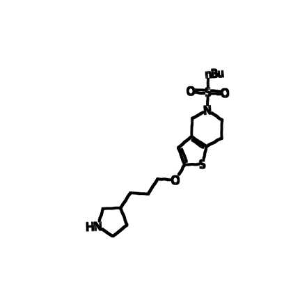 CCCCS(=O)(=O)N1CCc2sc(OCCCC3CCNC3)cc2C1